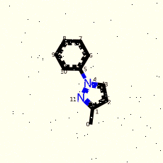 Cc1c[c]n(-c2ccccc2)n1